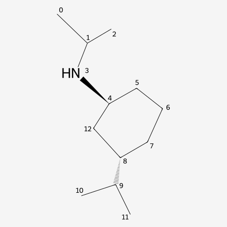 CC(C)N[C@H]1CCC[C@H](C(C)C)C1